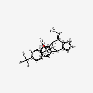 O=S(=O)(c1ccc(C(F)(F)F)nc1)N1C2C(=NO)c3[nH]ncc3C1c1cccc(Cl)c12